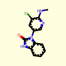 CNc1ncc(-n2c(=O)[nH]c3ccccc32)cc1Cl